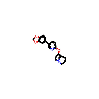 c1cc(OC2CCN3CCCC2C3)ncc1-c1ccc2c(c1)OCO2